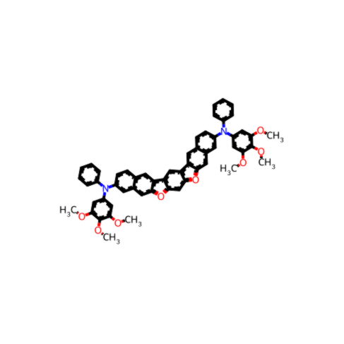 COc1cc(N(c2ccccc2)c2ccc3cc4c(cc3c2)oc2cc3oc5cc6cc(N(c7ccccc7)c7cc(OC)c(OC)c(OC)c7)ccc6cc5c3cc24)cc(OC)c1OC